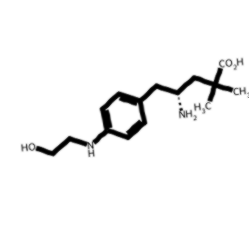 CC(C)(C[C@H](N)Cc1ccc(NCCO)cc1)C(=O)O